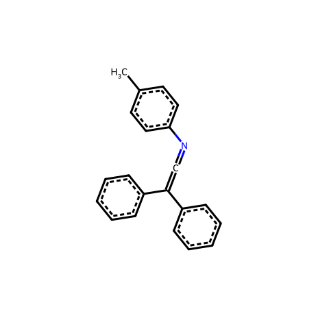 Cc1ccc(N=C=C(c2ccccc2)c2ccccc2)cc1